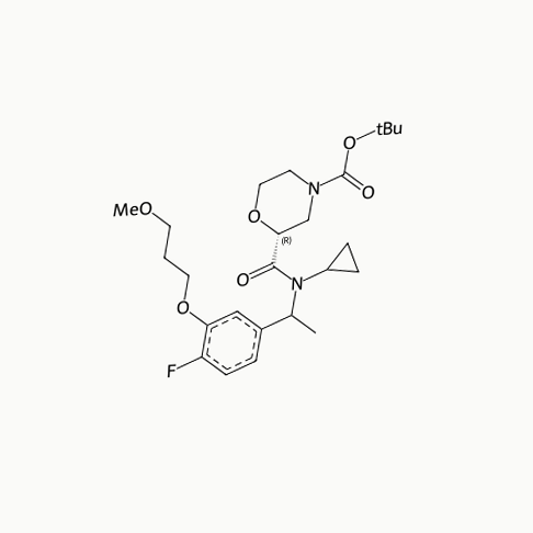 COCCCOc1cc(C(C)N(C(=O)[C@H]2CN(C(=O)OC(C)(C)C)CCO2)C2CC2)ccc1F